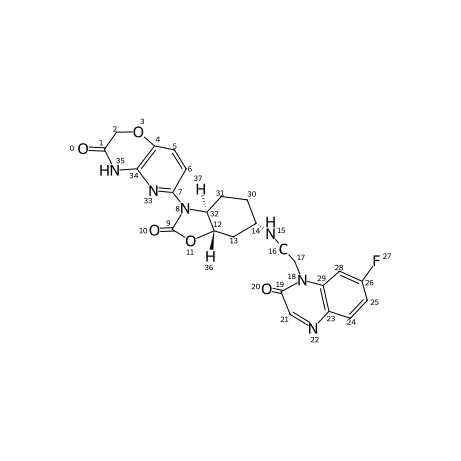 O=C1COc2ccc(N3C(=O)O[C@H]4C[C@@H](NCCn5c(=O)cnc6ccc(F)cc65)CC[C@@H]43)nc2N1